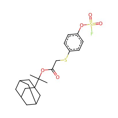 CC(C)(OC(=O)CSc1ccc(OS(=O)(=O)F)cc1)C12CC3CC(CC(C3)C1)C2